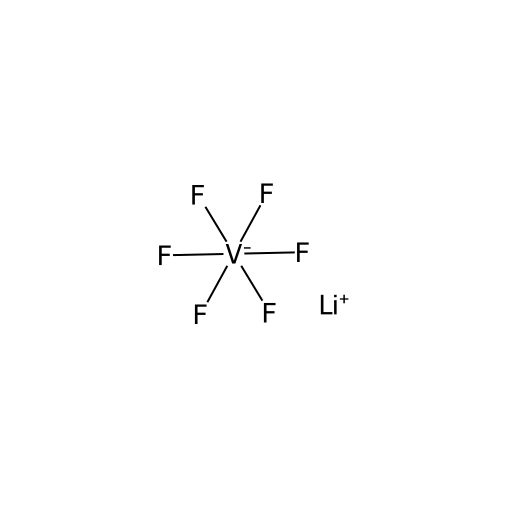 [F][V-]([F])([F])([F])([F])[F].[Li+]